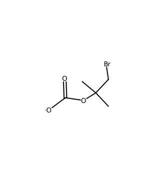 CC(C)(CBr)OC([O])=O